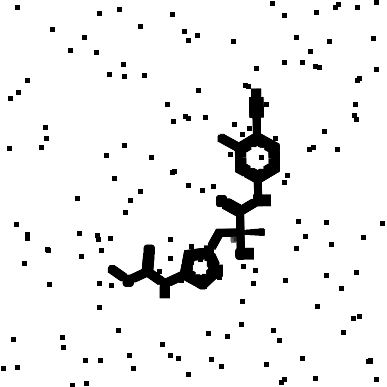 COC(=O)Nc1cnn(C[C@](C)(O)C(=O)Nc2ccc(C#N)c(C)c2)c1